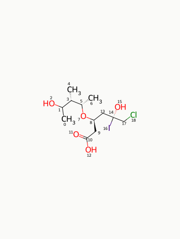 CC(O)[C@H](C)[C@H](C)O[C@H](CC(=O)O)C[C@](O)(I)CCl